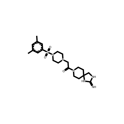 Cc1cc(C)cc(S(=O)(=O)N2CCN(CC(=O)N3CCC4(CC3)CNC(=N)N4)CC2)c1